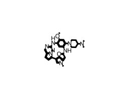 C=CC(=O)Nc1cc(Nc2ncc3ccc(-c4ccn(C)c4)n3n2)c(OC)cc1N1CCC(N(C)C)CC1